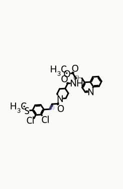 COC(=O)[C@H](Cc1ccnc2ccccc12)NC(=O)C1CCN(C(=O)/C=C/c2ccc(SC)c(Cl)c2Cl)CC1